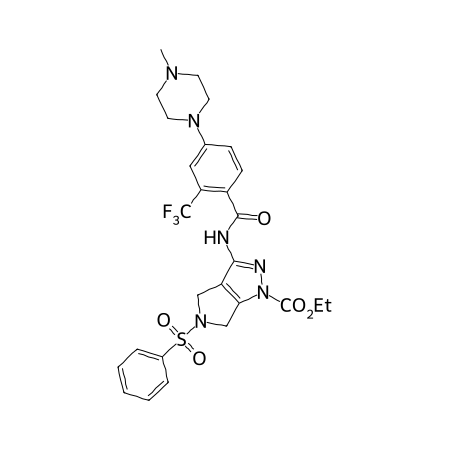 CCOC(=O)n1nc(NC(=O)c2ccc(N3CCN(C)CC3)cc2C(F)(F)F)c2c1CN(S(=O)(=O)c1ccccc1)C2